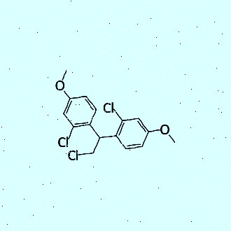 COc1ccc(C(CCl)c2ccc(OC)cc2Cl)c(Cl)c1